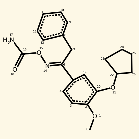 COc1ccc(C(Cc2ccccc2)=NOC(N)=O)cc1OC1CCCC1